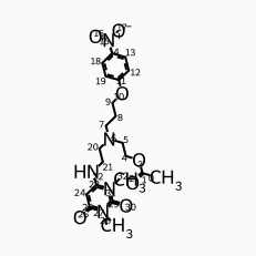 CC(=O)OCCN(CCCOc1ccc([N+](=O)[O-])cc1)CCNc1cc(=O)n(C)c(=O)n1C